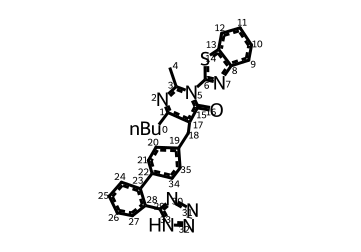 CCCCc1nc(C)n(-c2nc3ccccc3s2)c(=O)c1Cc1ccc(-c2ccccc2-c2nnn[nH]2)cc1